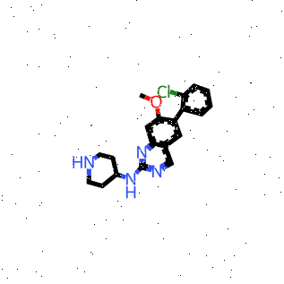 COc1cc2nc(NC3CCNCC3)ncc2cc1-c1ccccc1Cl